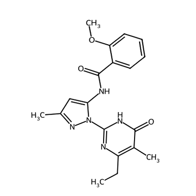 CCc1nc(-n2nc(C)cc2NC(=O)c2ccccc2OC)[nH]c(=O)c1C